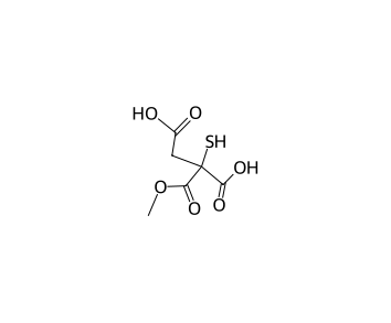 COC(=O)C(S)(CC(=O)O)C(=O)O